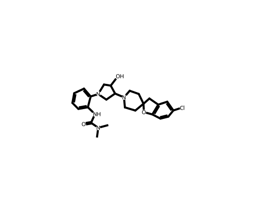 CN(C)C(=O)Nc1ccccc1N1CC(O)C(N2CCC3(CC2)Cc2cc(Cl)ccc2O3)C1